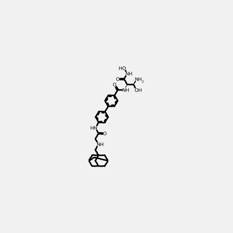 N[C@@H](O)[C@H](NC(=O)c1ccc(-c2ccc(NC(=O)CNCC34CC5CC(CC(C5)C3)C4)cc2)cc1)C(=O)NO